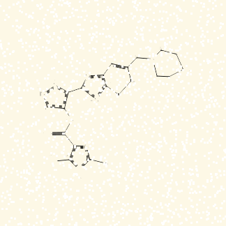 Cc1nc(C(=O)Nc2c[nH]nc2-c2nc3c([nH]2)CCC(CN2CCCCC2)=C3)c(C(F)(F)F)o1